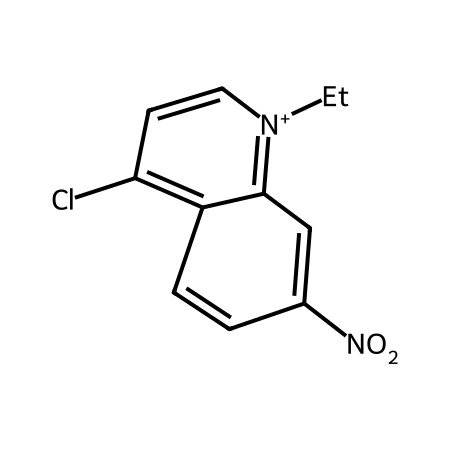 CC[n+]1ccc(Cl)c2ccc([N+](=O)[O-])cc21